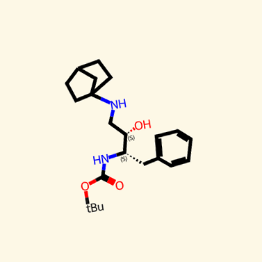 CC(C)(C)OC(=O)N[C@@H](Cc1ccccc1)[C@@H](O)CNC12CCC(CC1)C2